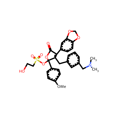 COc1ccc(C2(OS(=O)(=O)CCO)OC(=O)C(c3ccc4c(c3)OCO4)=C2Cc2cccc(CN(C)C)c2)cc1